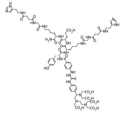 NC(=O)[C@@H](CCCCNC(=O)CNC(=O)CCC(=O)NCCc1cnc[nH]1)NC(=O)[C@@H](CCC(=O)O)NC(=O)[C@@H](CCCCNC(=O)CNC(=O)CCC(=O)NCCc1cnc[nH]1)NC(=O)[C@@H](Cc1ccc(O)cc1)NC(=O)c1ccc(NNC(=S)Nc2ccc(C(CN(CCN(CC(=O)O)CC(=O)O)CC(=O)O)N(CC(=O)O)CC(=O)O)cc2)cc1